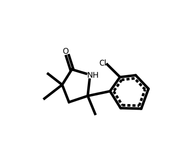 CC1(C)CC(C)(c2ccccc2Cl)NC1=O